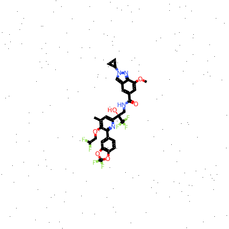 COc1cc(C(=O)NC[C@](O)(c2cc(C)c(OCC(F)F)c(-c3ccc4c(c3)OC(F)(F)O4)n2)C(F)(F)F)cc2cn(C3CC3)nc12